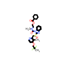 Cc1c(OCC(C)(F)F)ccnc1C[S@@+]([O-])c1nc2ccccc2n1C(=O)N(C)CCOC(=O)C1CCCCC1